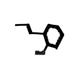 CC=Cc1ccc[c]c1OC